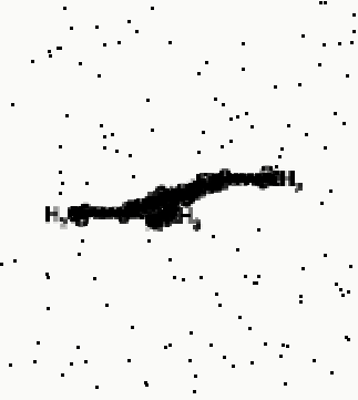 C=CC(=O)OCCCCCCCCOc1ccc(OC(=O)[C@H]2CC[C@H](C(=O)Oc3ccc(OC(=O)[C@H]4CC[C@H](C(=O)Oc5ccc(OCCCCCCCCOC(=O)C=C)cc5)CC4)c(/C=N/N(C)C4Nc5ccccc5S4)c3)CC2)cc1